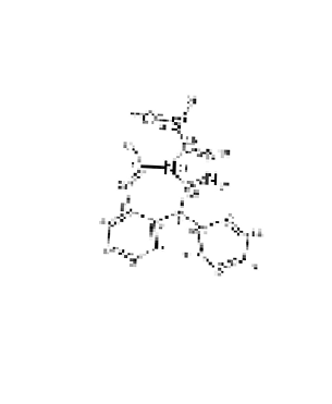 CC1=Cc2ccccc2C(c2ccccc2)c2nnc([S+](C)[O-])n21